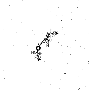 CC(C)(C)OC(=O)NC(=N)c1ccc(OCCON=C(C(=O)O)c2csc(NC(=O)OC(C)(C)C)n2)cc1